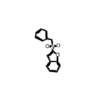 O=S(=O)(Cc1ccccc1)c1cc2ccccc2o1